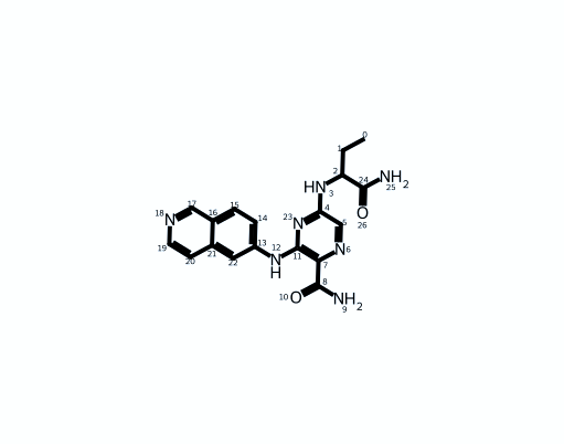 CCC(Nc1cnc(C(N)=O)c(Nc2ccc3cnccc3c2)n1)C(N)=O